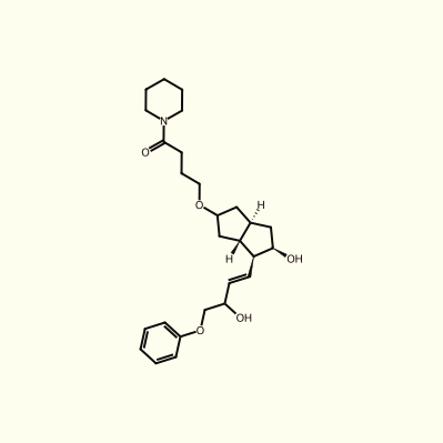 O=C(CCCOC1C[C@H]2C[C@@H](O)[C@@H](C=CC(O)COc3ccccc3)[C@@H]2C1)N1CCCCC1